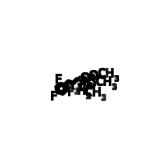 CC(C)OC(O[SiH2]CCCc1c(F)cc(F)cc1F)OC(C)C